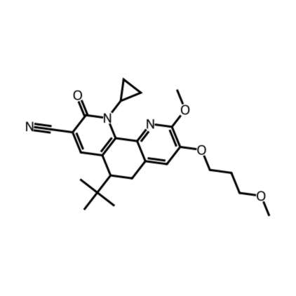 COCCCOc1cc2c(nc1OC)-c1c(cc(C#N)c(=O)n1C1CC1)C(C(C)(C)C)C2